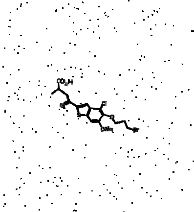 COc1cc2sc(C(=O)CC(C)C(=O)O)cc2c(Cl)c1OCCCBr